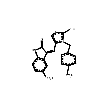 CCCCc1ncc(C=C2C(=O)Nc3ccc(C(=O)O)cc32)n1Cc1ccc(C(=O)O)cc1